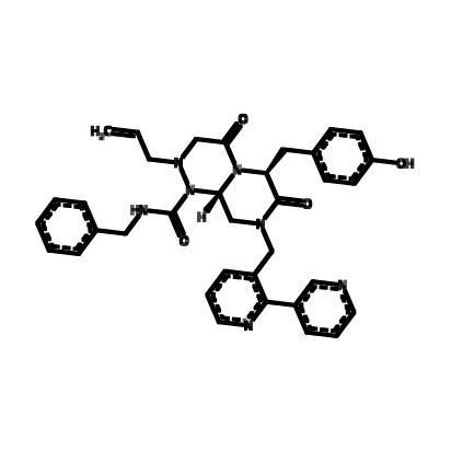 C=CCN1CC(=O)N2[C@@H](Cc3ccc(O)cc3)C(=O)N(Cc3cccnc3-c3cccnc3)C[C@@H]2N1C(=O)NCc1ccccc1